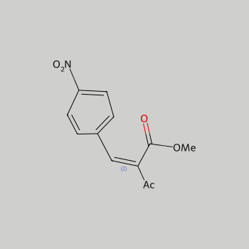 COC(=O)/C(=C\c1ccc([N+](=O)[O-])cc1)C(C)=O